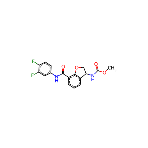 COC(=O)NC1COc2c(C(=O)Nc3ccc(F)c(F)c3)cccc21